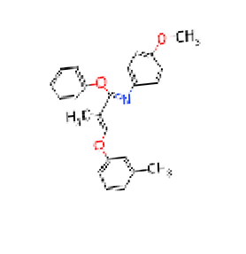 COc1ccc(N=C(Oc2ccccc2)C(C)=COc2cccc(C)c2)cc1